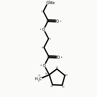 COCC(=O)OCCC(=O)OC1(C)CCCC1